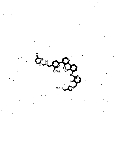 COCC1CN(Cc2ccnc(Nc3cccc(-c4nccc(-c5ccc(CNC[C@@H]6CCC(=O)N6)c(OC)n5)c4Cl)c3Cl)c2F)C1